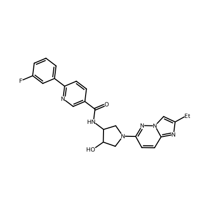 CCc1cn2nc(N3CC(O)C(NC(=O)c4ccc(-c5cccc(F)c5)nc4)C3)ccc2n1